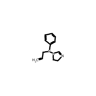 C=CCN(c1ccccc1)N1C=NCC1